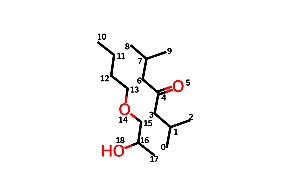 CC(C)CC(=O)CC(C)C.CCCCOCC(C)O